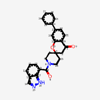 O=C1CC2(CCN(C(=O)c3cccc4cn[nH]c34)CC2)Oc2cc(-c3ccccc3)ccc21